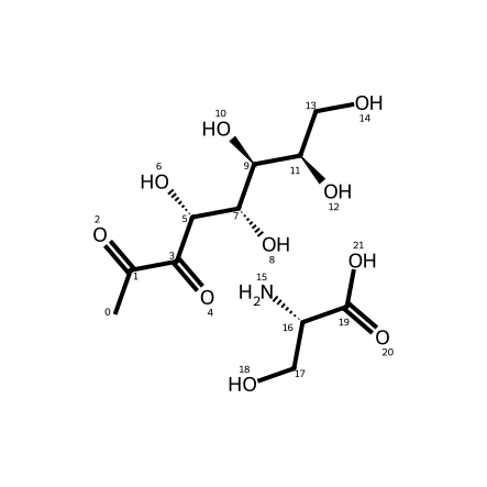 CC(=O)C(=O)[C@H](O)[C@@H](O)[C@@H](O)[C@H](O)CO.N[C@@H](CO)C(=O)O